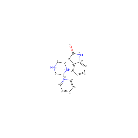 C1CNCCN1.O=C1Cc2ccccc2N1.c1ccncc1